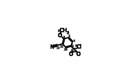 COc1ccc(S(=O)(=O)Cl)cc1C#N